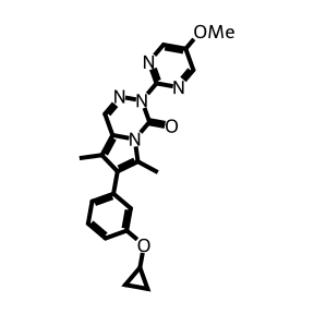 COc1cnc(-n2ncc3c(C)c(-c4cccc(OC5CC5)c4)c(C)n3c2=O)nc1